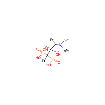 CCCN(CCC)C(CC)C(CC)(CC)C(CC)(P(=O)(O)O)P(=O)(O)O